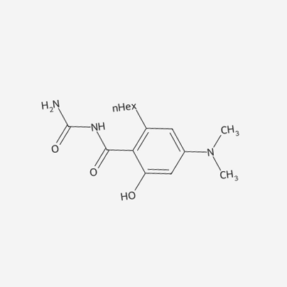 CCCCCCc1cc(N(C)C)cc(O)c1C(=O)NC(N)=O